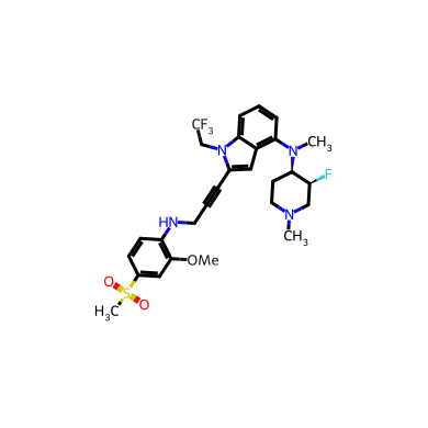 COc1cc(S(C)(=O)=O)ccc1NCC#Cc1cc2c(N(C)[C@@H]3CCN(C)C[C@@H]3F)cccc2n1CC(F)(F)F